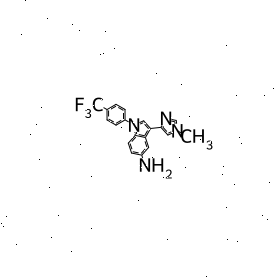 Cn1cnc(-c2cn(-c3ccc(C(F)(F)F)cc3)c3ccc(N)cc23)c1